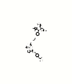 COC(=O)CC1N=C(c2ccc(OCCCOCC(=O)NC(C(=O)N3CCCC3C(=O)NCc3ccc(-c4scnc4C)cc3)C(C)(C)C)cc2)c2c(sc(C)c2C)-n2c(C)nnc21